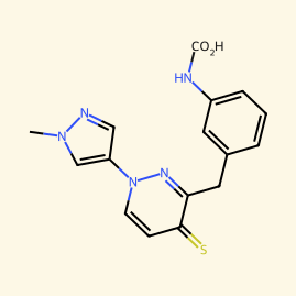 Cn1cc(-n2ccc(=S)c(Cc3cccc(NC(=O)O)c3)n2)cn1